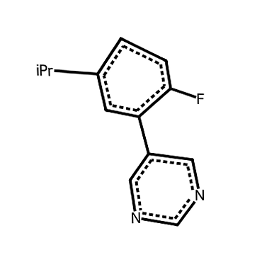 CC(C)c1ccc(F)c(-c2cncnc2)c1